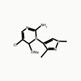 COC1C(Cl)=CN=C(N)N1c1cn(C)nc1C